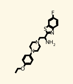 CCOc1ccc(N2CCN(CC(N)c3nc4ccc(F)cc4s3)CC2)cc1